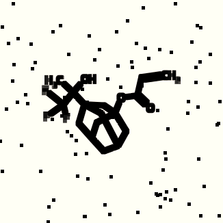 C=CC(=O)OC12CC3CC(C1)CC(C(C)(O)C(F)(F)F)(C3)C2